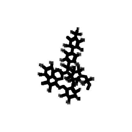 [2H]c1c([2H])c(F)c(F)c(CSc2c([2H])c(=O)c3c([2H])c([2H])c([2H])c([2H])c3n2CC(=O)N(C([2H])([2H])c2c([2H])c([2H])c(-c3c([2H])c([2H])c(C(F)(F)F)c(C)c3[2H])c([2H])c2[2H])C2([2H])C([2H])([2H])C([2H])([2H])N(CC([2H])([2H])OC)C([2H])([2H])C2([2H])[2H])c1[2H]